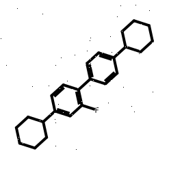 Fc1cc(C2CCCCC2)ccc1-c1ccc(C2CCCCC2)cc1